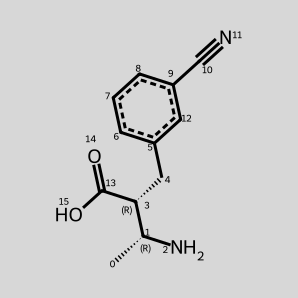 C[C@@H](N)[C@@H](Cc1cccc(C#N)c1)C(=O)O